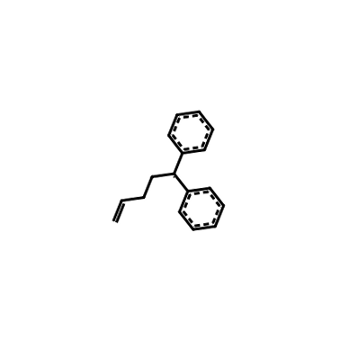 C=CCC[C](c1ccccc1)c1ccccc1